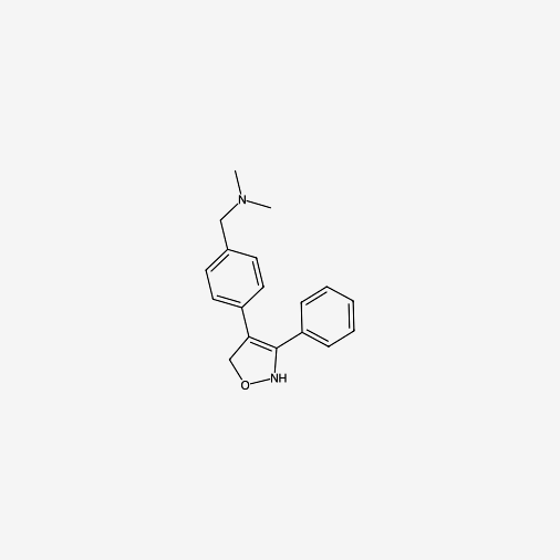 CN(C)Cc1ccc(C2=C(c3ccccc3)NOC2)cc1